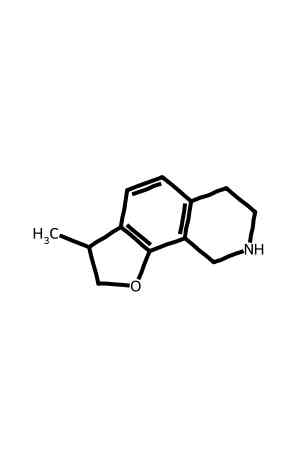 CC1COc2c1ccc1c2CNCC1